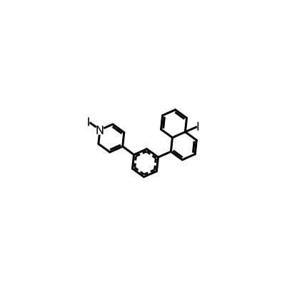 IN1C=CC(c2cccc(C3=CC=CC4(I)C=CC=CC34)c2)=CC1